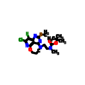 CSc1nc2c3c(nc(Cl)c(F)c3n1)OCCCN2CCN(C)C(=O)OC(C)(C)C